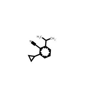 [CH2]C(C)c1cccc(C2CC2)c1C#N